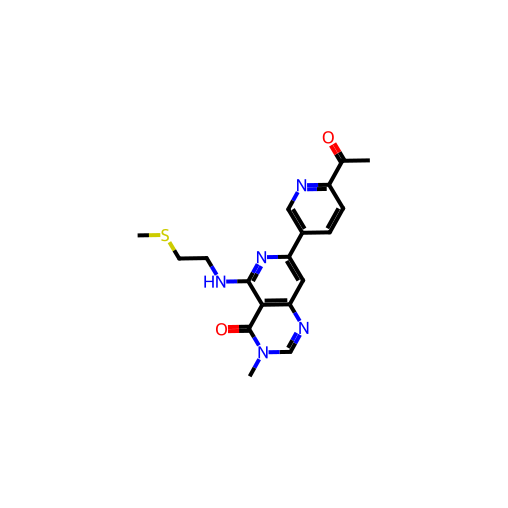 CSCCNc1nc(-c2ccc(C(C)=O)nc2)cc2ncn(C)c(=O)c12